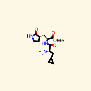 COC(=O)[C@H](C[C@@H]1CCNC1=O)NC(=O)[C@@H](N)CC1CC1